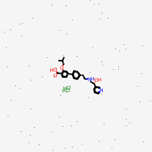 CC(C)COc1cc(-c2ccc(CCNC[C@H](O)c3cccnc3)cc2)ccc1C(=O)O.Cl.Cl